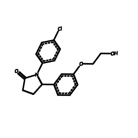 O=C1CCC(c2cccc(OCCO)c2)N1c1ccc(Cl)cc1